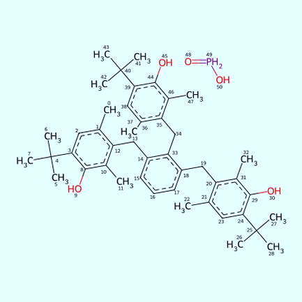 Cc1cc(C(C)(C)C)c(O)c(C)c1Cc1cccc(Cc2c(C)cc(C(C)(C)C)c(O)c2C)c1Cc1c(C)cc(C(C)(C)C)c(O)c1C.O=[PH2]O